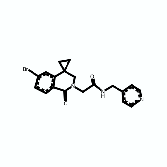 O=C(CN1CC2(CC2)c2cc(Br)ccc2C1=O)NCc1ccncc1